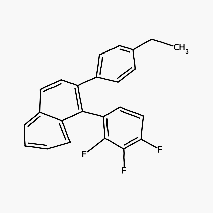 CCc1ccc(-c2ccc3ccccc3c2-c2ccc(F)c(F)c2F)cc1